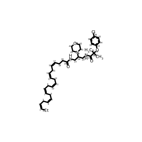 CC/C=C\C/C=C\C/C=C\C/C=C\C/C=C\C/C=C\CCC(=O)NCC(CNC(=O)C(C)(C)Oc1ccc(Cl)cc1)N1CCOCC1